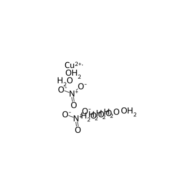 O.O.O.O.O.O.O.O=[N+]([O-])[O-].O=[N+]([O-])[O-].[Cu+2]